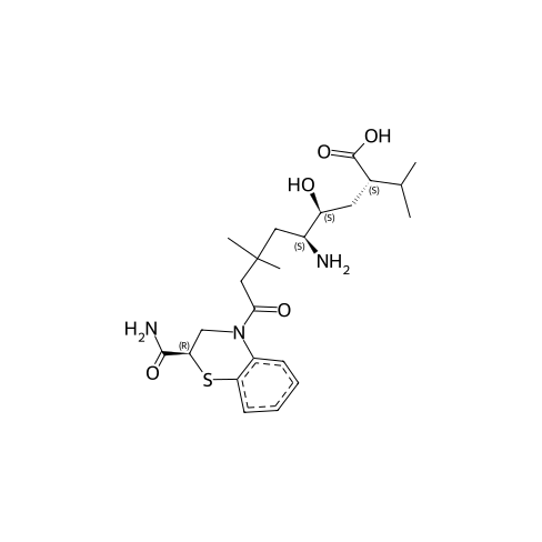 CC(C)[C@H](C[C@H](O)[C@@H](N)CC(C)(C)CC(=O)N1C[C@H](C(N)=O)Sc2ccccc21)C(=O)O